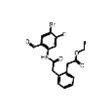 CCOC(=O)Cc1ccccc1CC(=O)Nc1cc(Cl)c(Br)cc1C=O